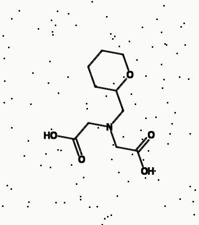 O=C(O)CN(CC(=O)O)CC1CCCCO1